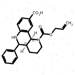 C=CCOC(=O)N1CCC[C@H]2C(c3ccccc3)Nc3ccc(C(=O)O)cc3[C@H]21